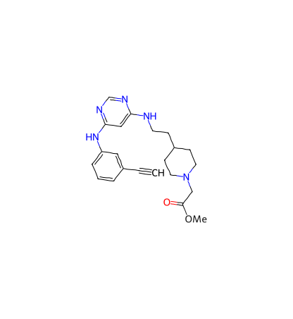 C#Cc1cccc(Nc2cc(NCCC3CCN(CC(=O)OC)CC3)ncn2)c1